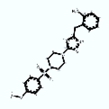 COc1ccc(S(=O)(=O)N2CCN(c3nc(Cc4ccccc4C)ns3)CC2)cc1